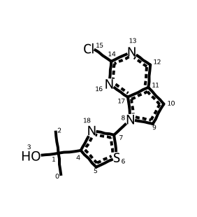 CC(C)(O)c1csc(-n2ccc3cnc(Cl)nc32)n1